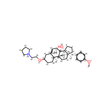 COc1ccc([C@H]2CC[C@]3(O)[C@@H]4CC=C5CC(OCCN6CCCC6)CC[C@]5(C)[C@H]4CC[C@]23C)cc1